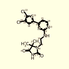 CC1(C)C(=O)NC(=O)N1CCNc1nccc(-c2cc(Cl)c(Cl)s2)n1